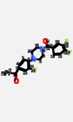 CCCC(=O)c1ccc(N2CCN(C(=O)c3ccc(F)c(F)c3)CC2)c(F)c1